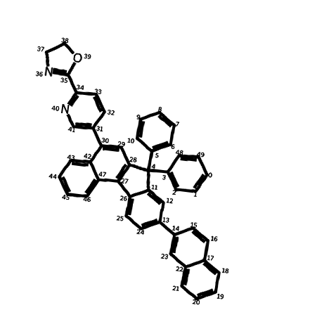 c1ccc(C2(c3ccccc3)c3cc(-c4ccc5ccccc5c4)ccc3-c3c2cc(-c2ccc(C4=NCCO4)nc2)c2ccccc32)cc1